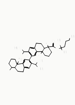 CCCCC(C)(C)OC(=O)C1(C)CCCC2(C)c3cc(-c4cc5c(cc4C(C)C)CCC4C(C)CCCC54C)c(C(C)C)cc3CCC12